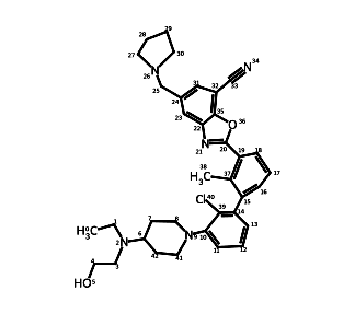 CCN(CCO)C1CCN(c2cccc(-c3cccc(-c4nc5cc(CN6CCCC6)cc(C#N)c5o4)c3C)c2Cl)CC1